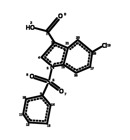 O=C(O)c1cn(S(=O)(=O)c2ccccc2)c2ccc(Cl)cc12